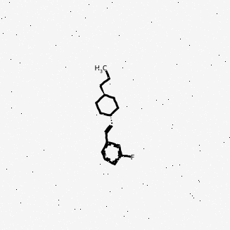 CCC[C@H]1CC[C@H](C=Cc2cccc(F)c2)CC1